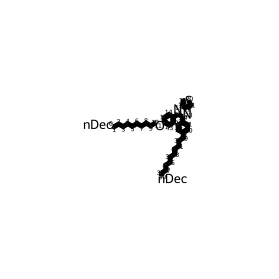 CCCCCCCCCCCCCCCCCCCCOc1ccc(-c2nc3cscc3nc2-c2ccc(CCCCCCCCCCCCCCCCCCCC)cc2)cc1